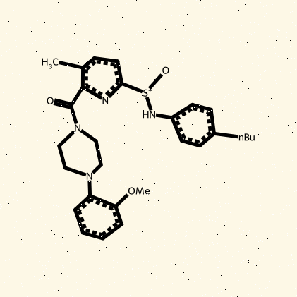 CCCCc1ccc(N[S+]([O-])c2ccc(C)c(C(=O)N3CCN(c4ccccc4OC)CC3)n2)cc1